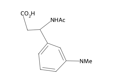 CNc1cccc(C(CC(=O)O)NC(C)=O)c1